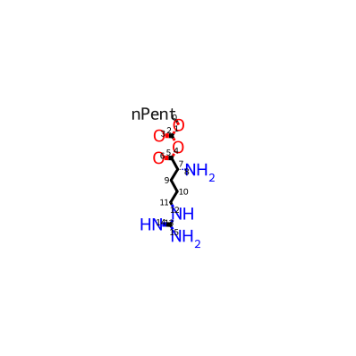 CCCCCOC(=O)OC(=O)[C@H](N)CCCNC(=N)N